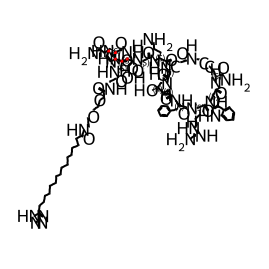 N=C(N)NCCC[C@@H]1NC(=O)[C@@H](Cc2ccccc2)NC(=O)[C@@H]2C[C@@H](O)CN2C(=O)[C@@H](NC(=O)[C@H](CCCN)NC(=O)[C@H](CO)NC(=O)[C@H](Cc2c[nH]cn2)NC(=O)[C@H](CCC(N)=O)NC(=O)[C@H](CO)NC(=O)CNC(=O)COCCOCCNC(=O)CCCCCCCCCCCCCCCc2nnn[nH]2)CCC(=O)NCCCC[C@@H](C(N)=O)NC(=O)[C@H](Cc2c[nH]c3ccccc23)NC1=O